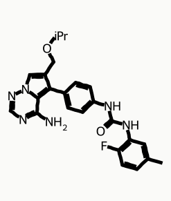 Cc1ccc(F)c(NC(=O)Nc2ccc(-c3c(COC(C)C)cn4ncnc(N)c34)cc2)c1